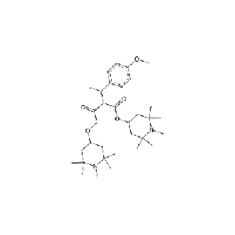 COc1ccc(C(C)C(C(=O)COC2CC(C)(C)N(C)C(C)(C)C2)C(=O)OC2CC(C)(C)N(C)C(C)(C)C2)cc1